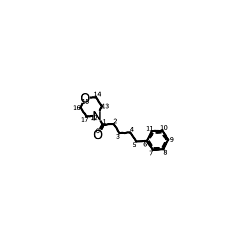 O=C(CCCCc1ccccc1)N1CCOCC1